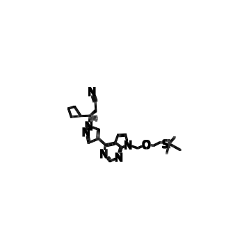 C[Si](C)(C)CCOCn1ccc2c(-c3cnn([C@H](CC#N)C4CCC4)c3)ncnc21